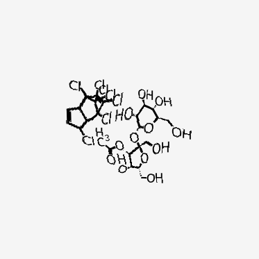 CC(=O)O[C@H]1[C@H](O)[C@@H](CO)O[C@@]1(CO)O[C@H]1O[C@H](CO)[C@@H](O)[C@H](O)[C@H]1O.ClC1=C(Cl)C2(Cl)C3C(Cl)C=CC3C1(Cl)C2(Cl)Cl